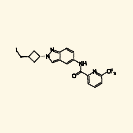 O=C(Nc1ccc2nn([C@H]3C[C@H](CI)C3)cc2c1)c1cccc(C(F)(F)F)n1